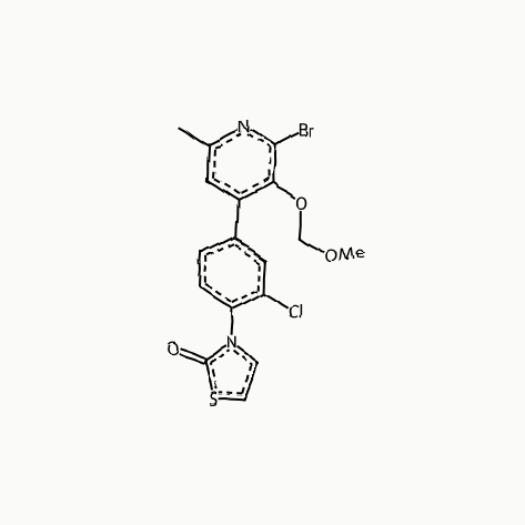 COCOc1c(-c2ccc(-n3ccsc3=O)c(Cl)c2)cc(C)nc1Br